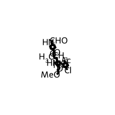 COCCOC1=NN/C(=C\CC(C)(C)OC(=O)c2ccc(NC=O)cc2)C=C1c1cc(Cl)ccc1C(C)=O